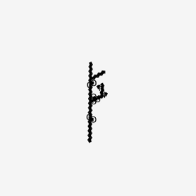 CCCCCCCCCCC(=O)OCCCCCCC(CCCCCCOC(=O)CC(CCCCCCC)CCCCCCC)OC(=O)OCCN(CC)CCN(CC)CC